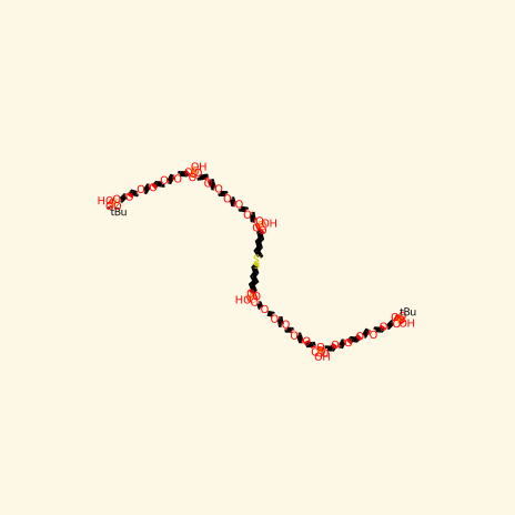 CC(C)(C)OP(=O)(O)OCCOCCOCCOCCOCCOCCOP(=O)(O)OCCOCCOCCOCCOCCOCCOP(=O)(O)OCCCCCCSSCCCCCCOP(=O)(O)OCCOCCOCCOCCOCCOCCOP(=O)(O)OCCOCCOCCOCCOCCOCCOP(=O)(O)OC(C)(C)C